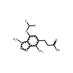 Cc1c(CCC(=O)O)cc(OC(F)F)c2c1nnn2C